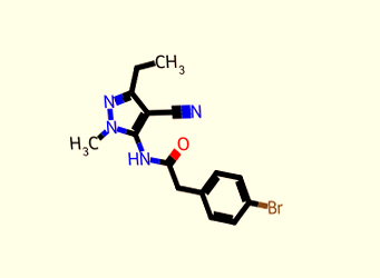 CCc1nn(C)c(NC(=O)Cc2ccc(Br)cc2)c1C#N